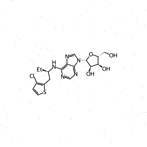 CC[C@H](Cc1sccc1Cl)Nc1ncnc2c1ncn2[C@@H]1O[C@H](CO)[C@@H](O)[C@H]1O